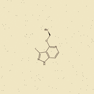 CC[C@H](C)COc1nccc2[nH]nc(C)c12